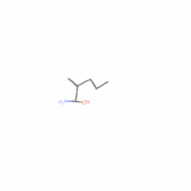 CCCC(C)C(N)O